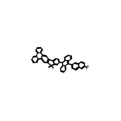 CC1(C)c2cc(-c3c4ccccc4c(-c4ccc5cc(F)ccc5c4)c4ccccc34)ccc2-c2cc3c4ccccc4c4ccccc4c3cc21